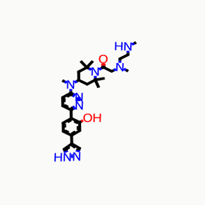 CNCCN(C)CC(=O)N1C(C)(C)CC(N(C)c2ccc(-c3ccc(-c4cn[nH]c4)cc3O)nn2)CC1(C)C